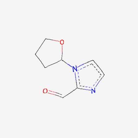 O=Cc1nccn1C1CCCO1